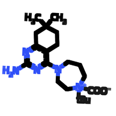 CC1(C)CCc2c(nc(N)nc2N2CCC[N+](C(=O)[O-])(C(C)(C)C)CC2)C1